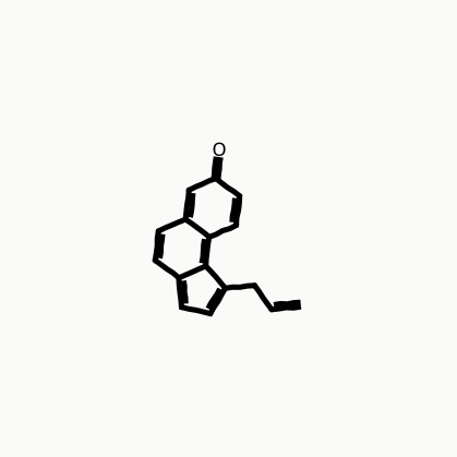 C=CCC1=CC=c2ccc3c(c21)C=CC(=O)C=3